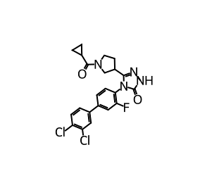 O=C(C1CC1)N1CCC(c2n[nH]c(=O)n2-c2ccc(-c3ccc(Cl)c(Cl)c3)cc2F)C1